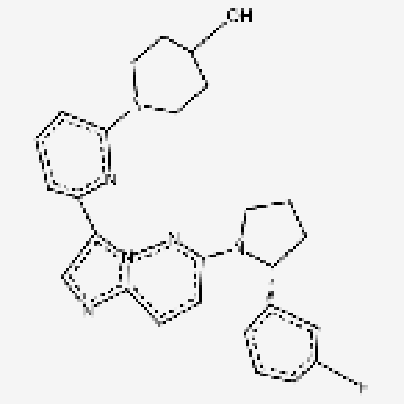 OC1CCN(c2cccc(-c3cnc4ccc(N5CCC[C@@H]5c5cccc(F)c5)nn34)n2)CC1